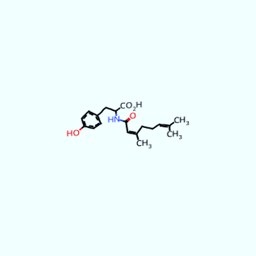 CC(C)=CCCC(C)=CC(=O)NC(Cc1ccc(O)cc1)C(=O)O